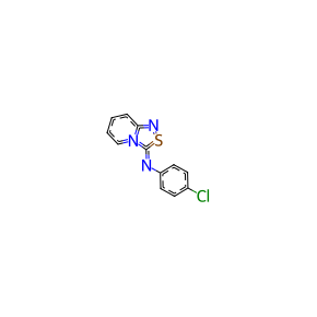 Clc1ccc(N=c2snc3ccccn23)cc1